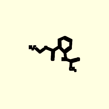 CCOC(=O)c1ccccc1NC(C)=O